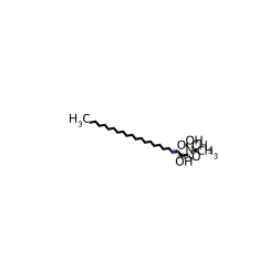 CCCCCCCCCCCCCCCCCCC/C=C/[C@@H](O)[C@@H]1COC(C)(C)N1C(=O)O